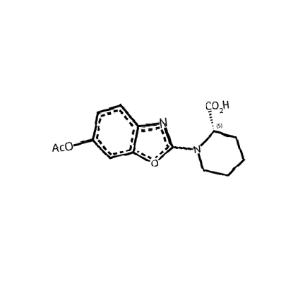 CC(=O)Oc1ccc2nc(N3CCCC[C@H]3C(=O)O)oc2c1